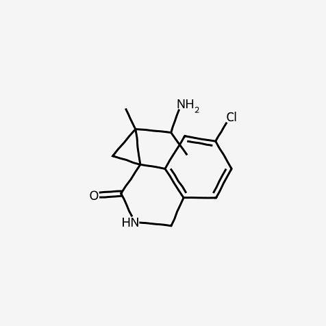 CC(N)C1(C)CC12C(=O)NCc1ccc(Cl)cc12